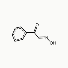 O=C(C=NO)c1ccccc1